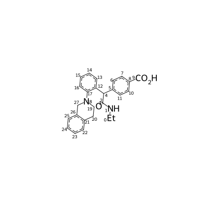 CCNC(=O)C(c1ccc(C(=O)O)cc1)c1ccccc1N1CCc2ccccc2C1